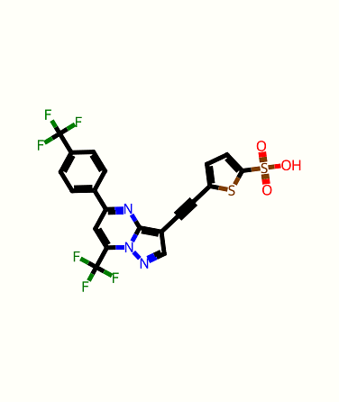 O=S(=O)(O)c1ccc(C#Cc2cnn3c(C(F)(F)F)cc(-c4ccc(C(F)(F)F)cc4)nc23)s1